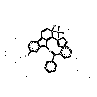 CCc1ccc2c(c1)=[C]([Zr]=[C](c1ccccc1)c1ccccc1)C1=C(C3=CC=CC3)C(CC)([Si](C)(C)C)C=CC=21